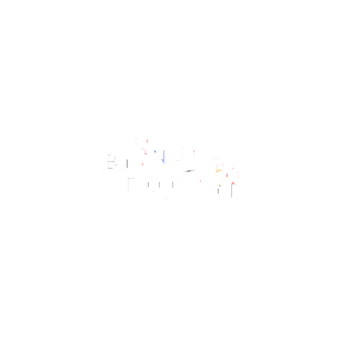 CCOC(=O)C1=C(OS(=O)(=O)C(F)(F)F)COC12CN(C(=O)OC(C)(C)C)C2